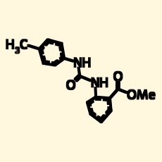 COC(=O)c1ccccc1NC(=O)Nc1ccc(C)cc1